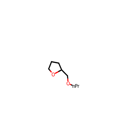 CCCOCC1CCCO1